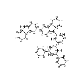 C1=C(C2NC(c3ccccc3)NC(c3ccccc3)N2)NC(n2c3ccccc3c3cc(-c4ccc5[nH]c6ccccc6c5c4)ccc32)NC1